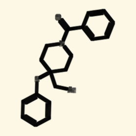 CC(=O)CC1(Sc2ccccc2)CCN(C(=O)c2ccccc2)CC1